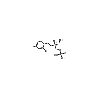 CC1=CCC(CC[C@](N)(CO)COP(=O)(O)O)C(Cl)=C1